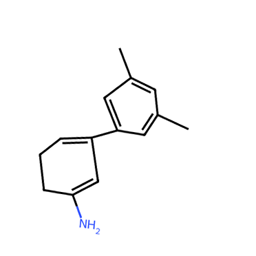 Cc1cc(C)cc(C2=CCCC(N)=C2)c1